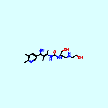 C/C(NC(=O)N[C@@H](CO)CNCCO)=C(/C)C(=N)c1cnc(C)c(C)c1